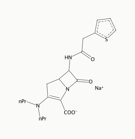 CCCN(CCC)C1=C(C(=O)[O-])N2C(=O)C(NC(=O)Cc3cccs3)C2C1.[Na+]